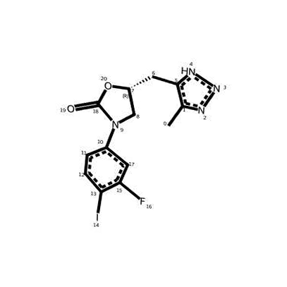 Cc1nn[nH]c1C[C@@H]1CN(c2ccc(I)c(F)c2)C(=O)O1